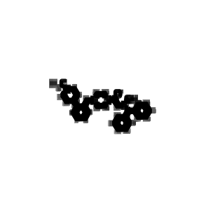 CN1CCC(c2ccccc2CN2CCN(C(=O)CN(C)C(c3ccccc3)c3ccccc3)CC2)CC1